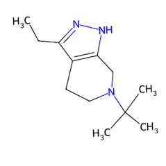 CCc1n[nH]c2c1CCN(C(C)(C)C)C2